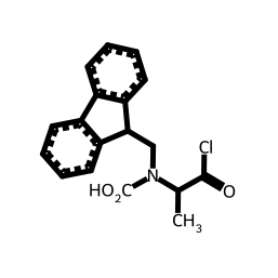 CC(C(=O)Cl)N(CC1c2ccccc2-c2ccccc21)C(=O)O